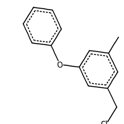 Cc1cc(CCl)cc(Oc2ccccc2)c1